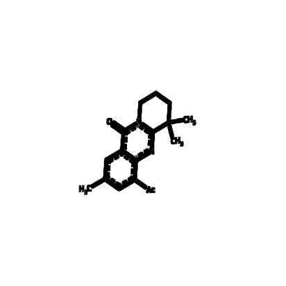 CC(=O)c1cc(C)cc2c(=O)n3c(nc12)C(C)(C)CCC3